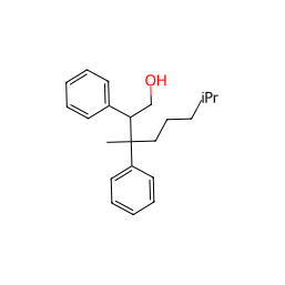 CC(C)CCCC(C)(c1ccccc1)C(CO)c1ccccc1